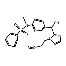 COCCn1cccc1C(O)c1ccc(N(C)S(=O)(=O)c2ccccc2)cc1